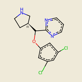 Clc1cc(Cl)cc(OC(c2ncccn2)[C@H]2CCNC2)c1